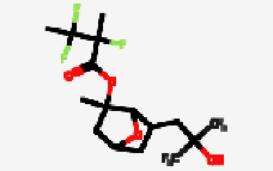 CC1(OC(=O)C(C)(F)C(C)(F)F)CC2CC(CC(O)(C(F)(F)F)C(F)(F)F)C1O2